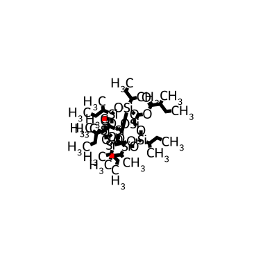 CCC(C)C(=O)OC[Si]12O[Si]3(C(C)CC)O[Si]4(C(C)CC)O[Si](C(C)CC)(O1)O[Si]1(C(C)CC)O[Si](C(C)CC)(O2)O[Si](C(C)CC)(O3)O[Si](C(C)CC)(O4)O1